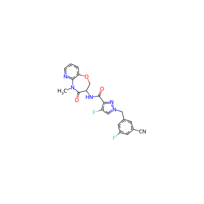 CN1C(=O)C(NC(=O)c2nn(Cc3cc(F)cc(C#N)c3)cc2F)COc2cccnc21